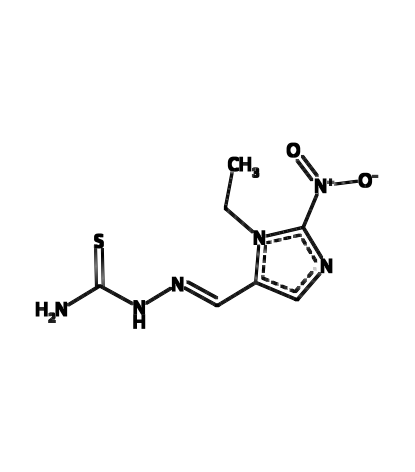 CCn1c(C=NNC(N)=S)cnc1[N+](=O)[O-]